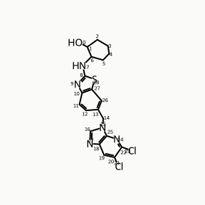 OC1CCCCC1Nc1nc2ccc(Cn3cnc4cc(Cl)c(Cl)nc43)cc2s1